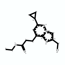 CCOC(=O)CCc1cc(C2CC2)nn2cc(CCl)nc12